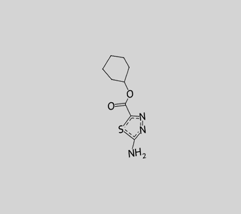 Nc1nnc(C(=O)OC2CCCCC2)s1